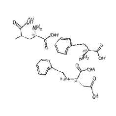 CC(C[C@H](N)C(=O)O)C(=O)O.N[C@@H](Cc1ccccc1)C(=O)O.O=C(O)C[C@H](NCc1ccccc1)C(=O)O